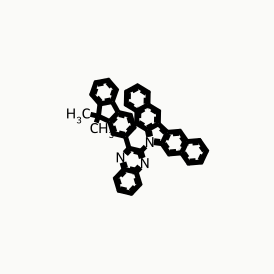 CC1(C)c2ccccc2-c2ccc(-c3nc4ccccc4nc3-n3c4cc5ccccc5cc4c4cc5ccccc5cc43)cc21